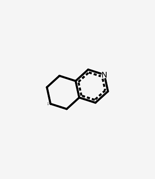 [C]1CCc2cnccc2C1